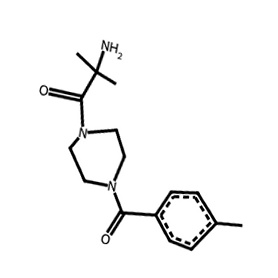 Cc1ccc(C(=O)N2CCN(C(=O)C(C)(C)N)CC2)cc1